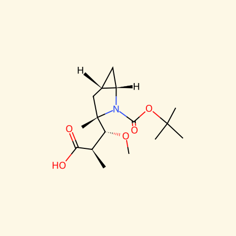 CO[C@H]([C@@H](C)C(=O)O)[C@]1(C)C[C@@H]2C[C@@H]2N1C(=O)OC(C)(C)C